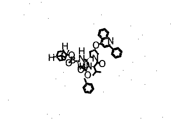 CC[C@H](NC(=O)[C@@H]1C[C@@H](Oc2cc(-c3ccccc3)nc3ccccc23)CN1C(=O)[C@@H](NC(=O)OCc1ccccc1)C(C)C)B1OC2C[C@@H]3C[C@@H](C3(C)C)[C@]2(C)O1